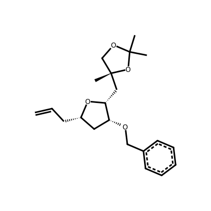 C=CC[C@H]1C[C@@H](OCc2ccccc2)[C@@H](C[C@]2(C)COC(C)(C)O2)O1